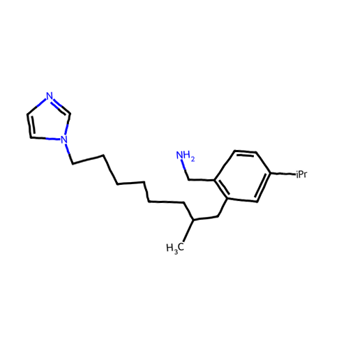 CC(CCCCCCn1ccnc1)Cc1cc(C(C)C)ccc1CN